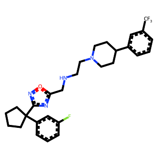 Fc1cccc(C2(c3noc(CNCCN4CCC(c5cccc(C(F)(F)F)c5)CC4)n3)CCCC2)c1